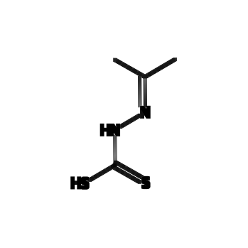 CC(C)=NNC(=S)S